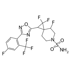 NS(=O)(=O)N1CCC2(C(F)C1)C(c1nc(-c3ccc(F)cc3C(F)(F)F)no1)C2(F)F